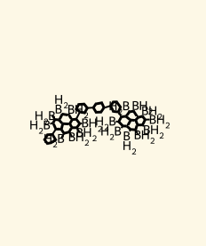 Bc1c(B)c2c(B)c(B)c3c(B)c(B)c(-c4cccc(-c5ccc(-c6cccc(-c7c(B)c(B)c8c(B)c(B)c9c(-c%10ccccc%10)c(B)c(B)c%10c(B)c(B)c7c8c%109)c6)cc5)c4)c4c(B)c(B)c(c1B)c2c34